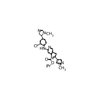 CC(C)OC(=O)n1c(-c2cnn(C)c2)cc2cnc(Nc3ccc(C4CN=CN4C)cc3Cl)cc21